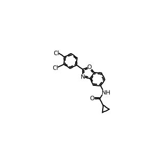 O=C(Nc1ccc2oc(-c3ccc(Cl)c(Cl)c3)nc2c1)C1CC1